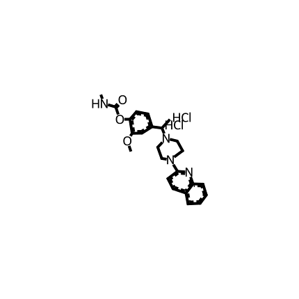 CNC(=O)Oc1ccc(C(C)N2CCN(c3ccc4ccccc4n3)CC2)cc1OC.Cl.Cl